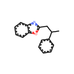 CC(Cc1nc2ccccc2o1)c1ccccc1